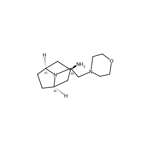 N[C@H]1C[C@H]2CC[C@@H](C1)N2CCN1CCOCC1